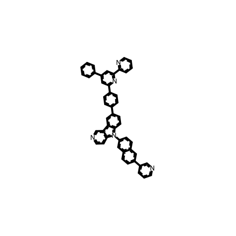 c1ccc(-c2cc(-c3ccc(-c4ccc5c(c4)c4cnccc4n5-c4ccc5cc(-c6cccnc6)ccc5c4)cc3)nc(-c3ccccn3)c2)cc1